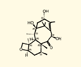 CC1=C2[C@@H](O)C(=O)[C@@]3(C)[C@H]([C@H](C)[C@](O)(C[C@@H]1O)C2(C)C)[C@]1(C)CO[C@@H]1C[C@@H]3C